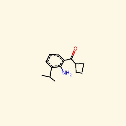 CC(C)c1cccc(C(=O)C2CCC2)c1N